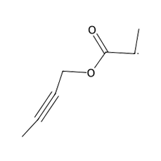 CC#CCOC(=O)[CH]C